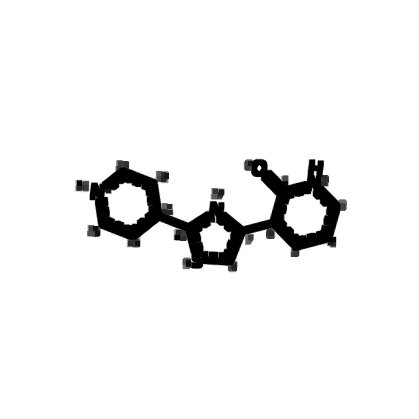 O=c1[nH]cccc1-c1csc(-c2ccncc2)n1